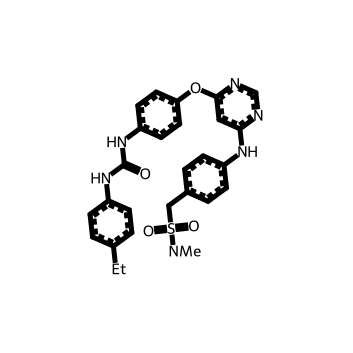 CCc1ccc(NC(=O)Nc2ccc(Oc3cc(Nc4ccc(CS(=O)(=O)NC)cc4)ncn3)cc2)cc1